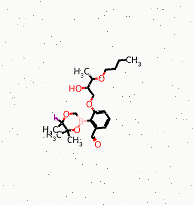 CCCCOC(C)C(O)COc1cccc(C=O)c1B1COC(C)(I)C(C)(C)O1